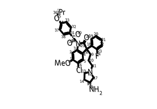 COc1cc2c(cc1Cl)C(CCCN1CC[C@@H](N)C1)(c1ccccc1F)C(=O)N2S(=O)(=O)c1ccc(OC(C)C)cc1